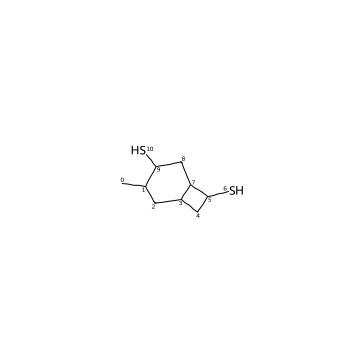 CC1CC2CC(S)C2CC1S